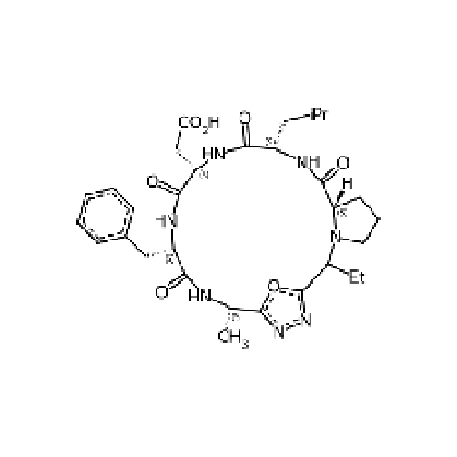 CCC1c2nnc(o2)[C@H](C)NC(=O)[C@H](Cc2ccccc2)NC(=O)[C@H](CC(=O)O)NC(=O)[C@H](CC(C)C)NC(=O)[C@@H]2CCCN12